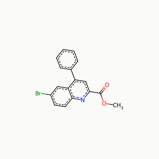 COC(=O)c1cc(-c2ccccc2)c2cc(Br)ccc2n1